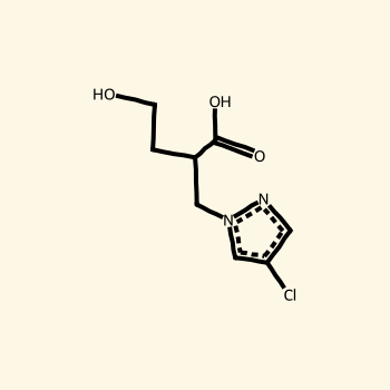 O=C(O)C(CCO)Cn1cc(Cl)cn1